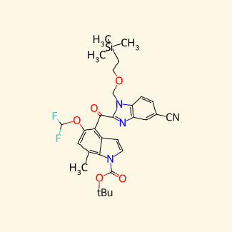 Cc1cc(OC(F)F)c(C(=O)c2nc3cc(C#N)ccc3n2COCC[Si](C)(C)C)c2ccn(C(=O)OC(C)(C)C)c12